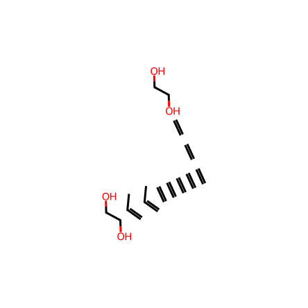 C=C.C=C.C=C.C=C.C=C.C=C.C=C.C=CC.C=CC.OCCO.OCCO